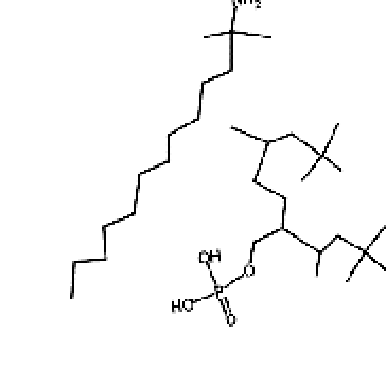 CC(CCC(COP(=O)(O)O)C(C)CC(C)(C)C)CC(C)(C)C.CCCCCCCCCCCC(C)(C)N